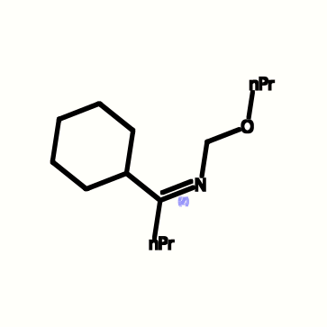 CCCOC/N=C(/CCC)C1CCCCC1